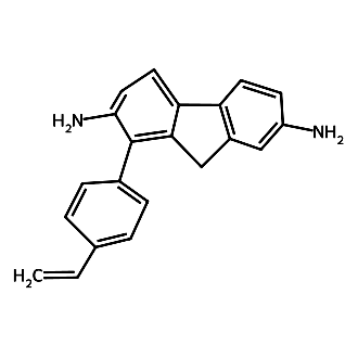 C=Cc1ccc(-c2c(N)ccc3c2Cc2cc(N)ccc2-3)cc1